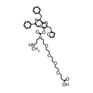 CNCCN(CCOCCOCCOCCOCCC(=O)O)C(=O)Oc1c(Cc2ccco2)nc2c(Cc3ccccc3)nc(-c3ccccc3)cn12